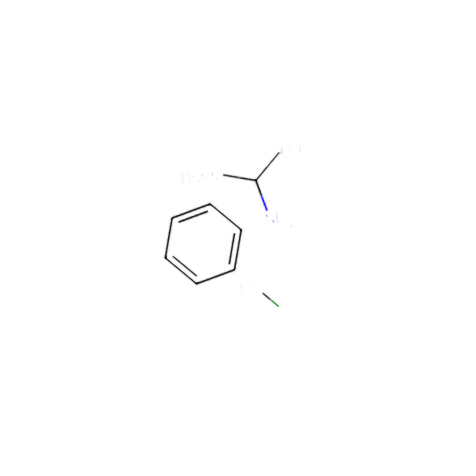 CCC(C)C(N)C(=O)O.CCl.c1ccccc1